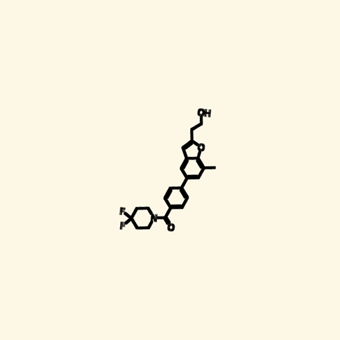 Cc1cc(-c2ccc(C(=O)N3CCC(F)(F)CC3)cc2)cc2cc(CCO)oc12